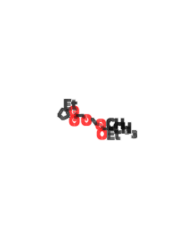 CCC1(OC(=O)COCCOC(=O)C(C)(C)CC)CCCC1